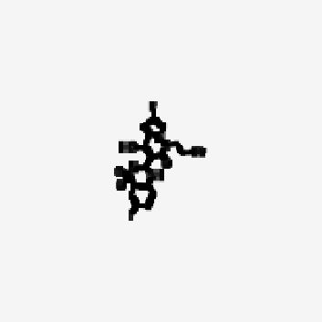 CC(C)CCn1c(=O)c(C2=NS(=O)(=O)c3cc(I)ccc3N2)c(O)c2cc(F)cn21